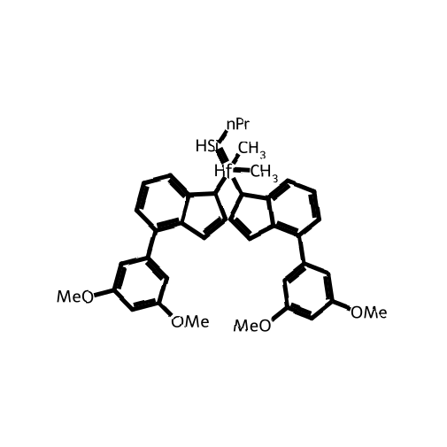 CCC[SiH]=[Hf]([CH3])([CH3])([CH]1C=Cc2c(-c3cc(OC)cc(OC)c3)cccc21)[CH]1C=Cc2c(-c3cc(OC)cc(OC)c3)cccc21